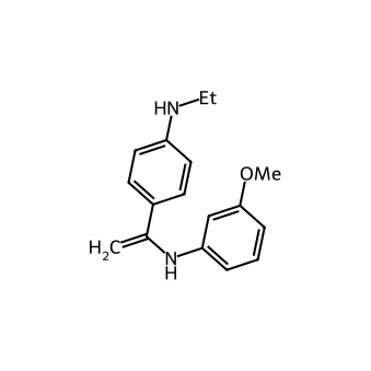 C=C(Nc1cccc(OC)c1)c1ccc(NCC)cc1